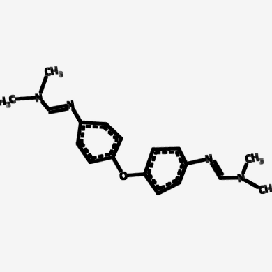 CN(C)/C=N/c1ccc(Oc2ccc(/N=C/N(C)C)cc2)cc1